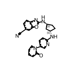 N#Cc1ccc2nc(N[C@H]3CC[C@H](Nc4ccc(-n5ccccc5=O)cn4)C3)oc2c1